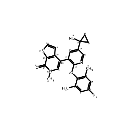 Cc1cc(F)cc(C)c1Oc1ncc(C2(C#N)CC2)cc1-c1cn(C)c(=O)c2sccc12